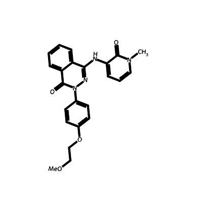 COCCOc1ccc(-n2nc(Nc3cccn(C)c3=O)c3ccccc3c2=O)cc1